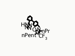 CCCCCn1c(C(F)(F)F)c(CCC)n(Cc2ccc(-c3ccccc3-c3nnn[nH]3)cc2)c1=O